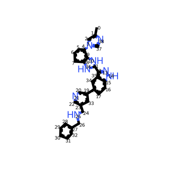 Cc1cn(-c2cccc3c2NC(c2n[nH]c4ccc(-c5cncc(CNCc6ccccc6)c5)cc24)N3)cn1